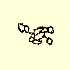 c1ccc(-c2c3c4ccccc4c4ccc5c(c4-3)c3c4c(cccc24)ccc3n5-c2ccc3ccccc3c2)cc1